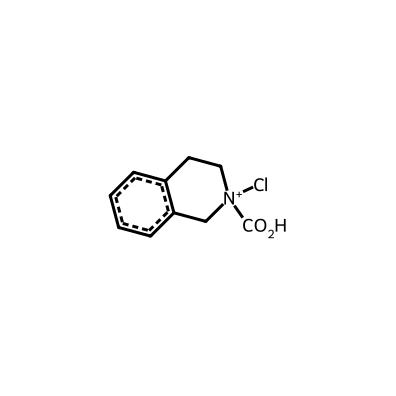 O=C(O)[N+]1(Cl)CCc2ccccc2C1